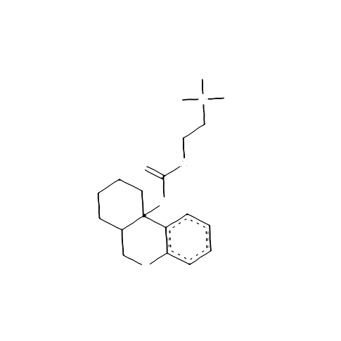 C[Si](C)(C)CCNC(=O)OC12CCCCC1CSc1ccccc12